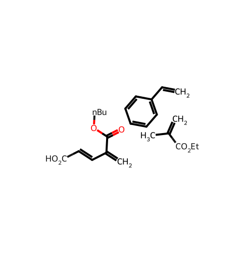 C=C(C)C(=O)OCC.C=C(C=CC(=O)O)C(=O)OCCCC.C=Cc1ccccc1